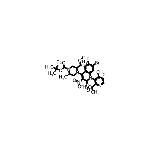 COC(=O)C1CN(C(=O)OC(C)(C)C)[C@H](C)CN1C1=C([N+](=O)[O-])C(=C=O)N(c2c(C)ccnc2C(C)C)c2cc(Br)c(F)cc21